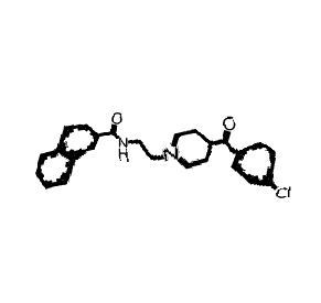 O=C(NCCN1CCC(C(=O)c2ccc(Cl)cc2)CC1)c1ccc2ccccc2c1